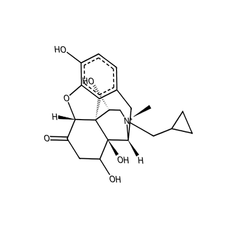 C[N@+]1(CC2CC2)C[C@@H](O)[C@]23c4c5ccc(O)c4O[C@H]2C(=O)CC(O)[C@@]3(O)[C@H]1C5